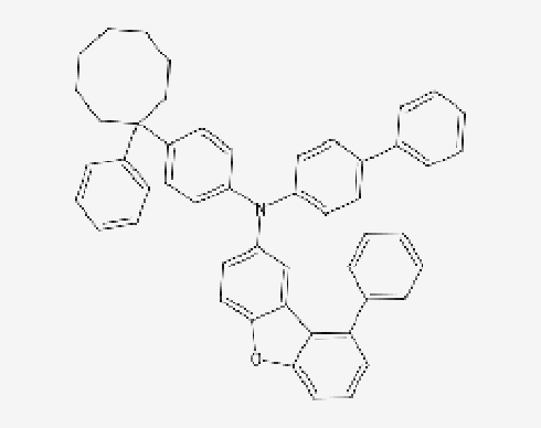 c1ccc(-c2ccc(N(c3ccc(C4(c5ccccc5)CCCCCCC4)cc3)c3ccc4oc5cccc(-c6ccccc6)c5c4c3)cc2)cc1